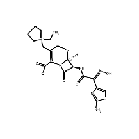 CC[N+]1(CC2=C(C(=O)[O-])N3C(=O)C(NC(=O)C(=NO)c4csc(N)n4)[C@@H]3SC2)CCCC1